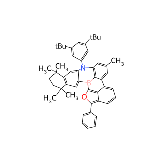 Cc1cc2c3c(c1)N(c1cc(C(C)(C)C)cc(C(C)(C)C)c1)c1cc4c(cc1B3c1oc(-c3ccccc3)c3cccc-2c13)C(C)(C)CCC4(C)C